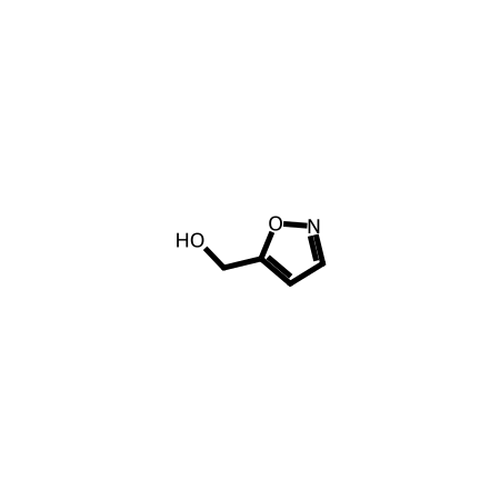 OCc1ccno1